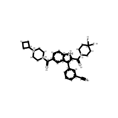 N#Cc1cccc(-c2c(C(=O)N3CCC(F)(F)CC3)[nH]c3ccc(C(=O)N4CCN(C5CCC5)CC4)cc23)c1